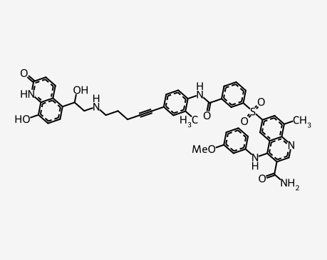 COc1cccc(Nc2c(C(N)=O)cnc3c(C)cc(S(=O)(=O)c4cccc(C(=O)Nc5ccc(C#CCCCNCC(O)c6ccc(O)c7[nH]c(=O)ccc67)cc5C)c4)cc23)c1